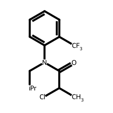 CC(C)CN(C(=O)C(C)Cl)c1ccccc1C(F)(F)F